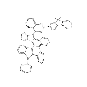 CC1(C)c2ccccc2-c2ccc(-c3nc(-n4c5ccccc5c5c6c(c7ccccc7c7c6c6ccccc6n7-c6ccccc6)c6ccccc6c54)c4ccccc4n3)cc21